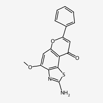 COc1cc2oc(-c3ccccc3)cc(=O)c2c2sc(N)nc12